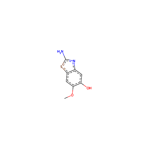 COc1cc2sc(N)nc2cc1O